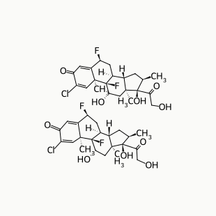 C[C@@H]1C[C@H]2[C@@H]3C[C@H](F)C4=CC(=O)C(Cl)=C[C@]4(C)[C@@]3(F)[C@@H](O)C[C@]2(C)[C@@]1(O)C(=O)CO.C[C@@H]1C[C@H]2[C@@H]3C[C@H](F)C4=CC(=O)C(Cl)=C[C@]4(C)[C@@]3(F)[C@@H](O)C[C@]2(C)[C@@]1(O)C(=O)CO